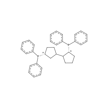 c1ccc(P(c2ccccc2)[C@@H]2CCC(C3CCC[C@H]3P(c3ccccc3)c3ccccc3)C2)cc1